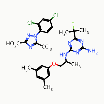 Cc1cc(C)cc(OCC(C)Nc2nc(N)nc(C(C)(C)F)n2)c1.O=C(O)c1nc(C(Cl)(Cl)Cl)n(-c2ccc(Cl)cc2Cl)n1